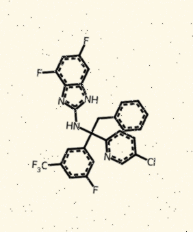 Fc1cc(C(F)(F)F)cc(C(Cc2ccccc2)(Nc2nc3c(F)cc(F)cc3[nH]2)c2ccc(Cl)cn2)c1